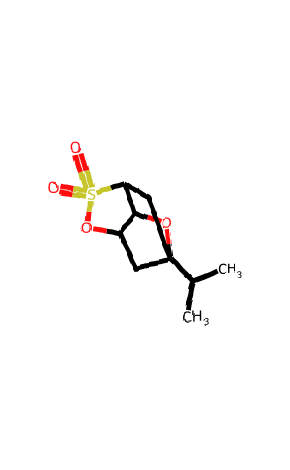 CC(C)C12CC3OS(=O)(=O)C(C1)C3O2